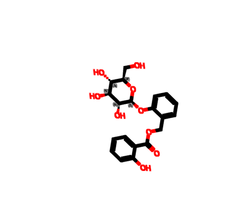 O=C(OCc1ccccc1O[C@@H]1O[C@H](CO)[C@@H](O)[C@H](O)[C@H]1O)c1ccccc1O